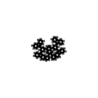 c1ccc(-c2nc3c(-c4cc(-n5c6ccccc6c6ccccc65)cc(-n5c6ccccc6c6ccccc65)c4)cnc(-c4cc(-n5c6ccccc6c6ccccc65)cc(-n5c6ccccc6c6ccccc65)c4)c3nc2-c2ccccc2)cc1